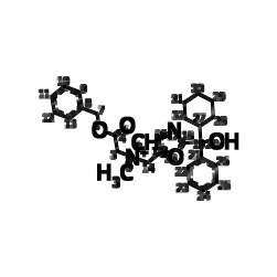 C[N+](C)(CC(=O)OCc1ccccc1)Cc1cnc(C(O)(c2ccccc2)C2CCCCC2)o1